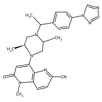 CC1CN(c2cc(=O)n(C)c3ccc(C#N)nc23)[C@@H](C)CN1C(C)c1ccc(-n2cncn2)cc1